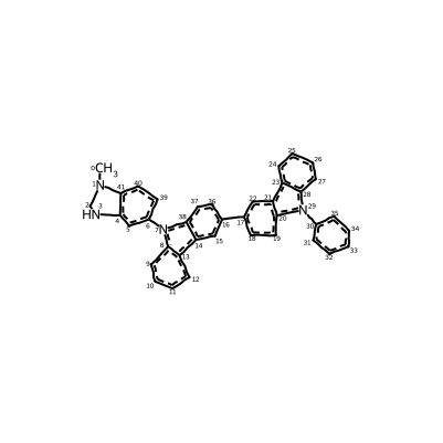 CN1CNc2cc(-n3c4ccccc4c4cc(-c5ccc6c(c5)c5ccccc5n6-c5ccccc5)ccc43)ccc21